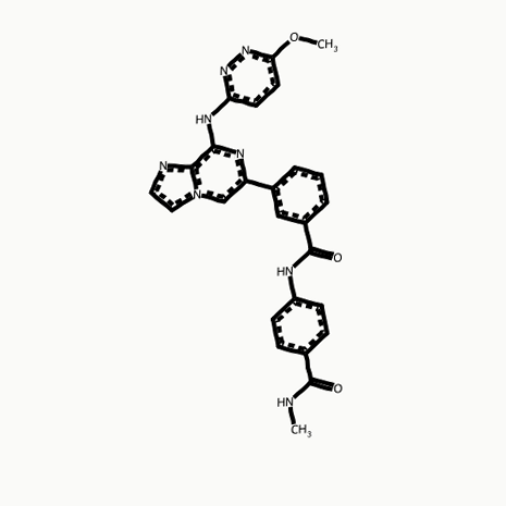 CNC(=O)c1ccc(NC(=O)c2cccc(-c3cn4ccnc4c(Nc4ccc(OC)nn4)n3)c2)cc1